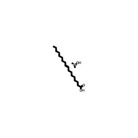 CCCCCCCCC=CCCCCCCCC(=O)O.[CH3][Sn]([CH3])[OH]